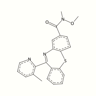 CON(C)C(=O)c1ccc2c(c1)N=C(c1ncccc1C)c1ccccc1S2